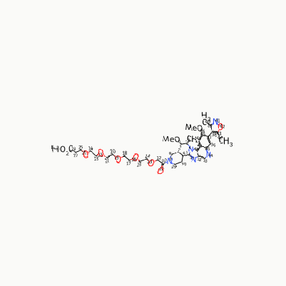 COCC(C)n1c(C2CCN(C(=O)COCCOCCOCCOCCOCCC(=O)O)CC2)nc2cnc3cc(-c4c(C)noc4C)c(OC)cc3c21